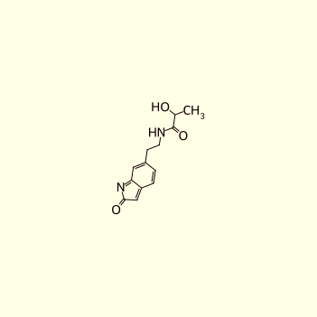 CC(O)C(=O)NCCc1ccc2c(c1)=NC(=O)C=2